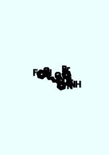 O=C1C(CCCc2noc3cc(F)ccc23)c2cccc3c2N1c1cc(Br)ccc1N1CNN=C31